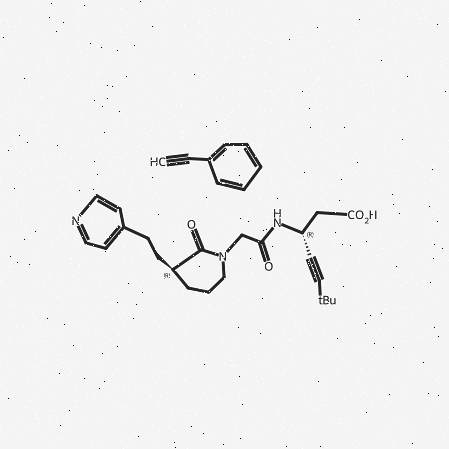 C#Cc1ccccc1.CC(C)(C)C#C[C@@H](CC(=O)O)NC(=O)CN1CCC[C@@H](CCc2ccncc2)C1=O